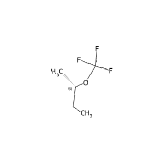 CC[C@H](C)OC(F)(F)F